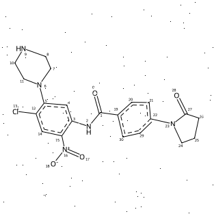 O=C(Nc1cc(N2CCNCC2)c(Cl)cc1[N+](=O)[O-])c1ccc(N2CCCC2=O)cc1